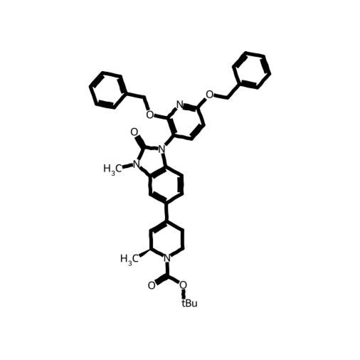 C[C@H]1C=C(c2ccc3c(c2)n(C)c(=O)n3-c2ccc(OCc3ccccc3)nc2OCc2ccccc2)CCN1C(=O)OC(C)(C)C